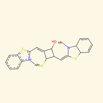 CCCN1/C(=C\C2C(O)/C(=C/c3sc4ccccc4[n+]3CCC)C2S)SC2C=CC=CC21